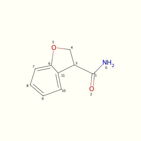 NC(=O)C1COc2ccccc21